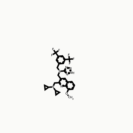 COc1cccc2cc(CN(Cc3cc(C(F)(F)F)cc(C(F)(F)F)c3)c3nn[nH]n3)c(CN(C3CC3)C3CC3)nc12